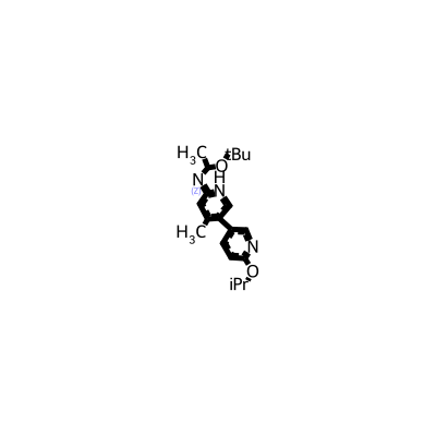 Cc1c/c(=N/C(C)OC(C)(C)C)[nH]cc1-c1ccc(OC(C)C)nc1